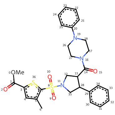 COC(=O)c1cc(C)c(S(=O)(=O)N2CC(C(=O)N3CCN(c4ccccc4)CC3)C(c3ccccc3)C2)s1